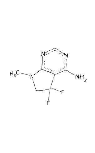 CN1CC(F)(F)c2c(N)ncnc21